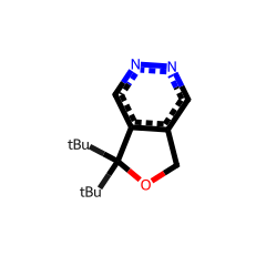 CC(C)(C)C1(C(C)(C)C)OCc2cnncc21